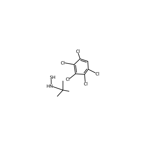 CC(C)(C)NS.Clc1cc(Cl)c(Cl)c(Cl)c1Cl